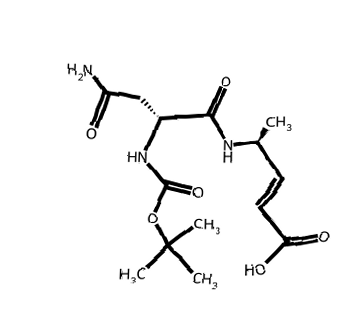 C[C@@H](/C=C/C(=O)O)NC(=O)[C@@H](CC(N)=O)NC(=O)OC(C)(C)C